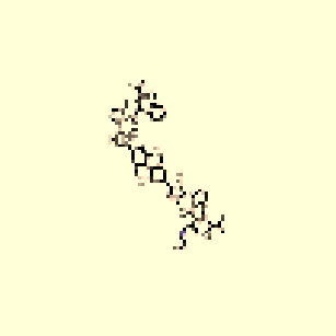 C=C(/C=C\C=C/C)[C@@H](NC(=O)C(C)C)C(=O)N1CCC[C@H]1c1ncc(-c2cc3c4c(c2)OCc2cc(-c5cnc([C@@H]6CCCN6C(=O)[C@H](NC(=O)C(C)C)c6ccccc6)[nH]5)cc(c2-4)OC3)[nH]1